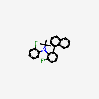 CC(C)(C)N(c1ccccc1F)c1c(F)cccc1-c1cccc2ccccc12